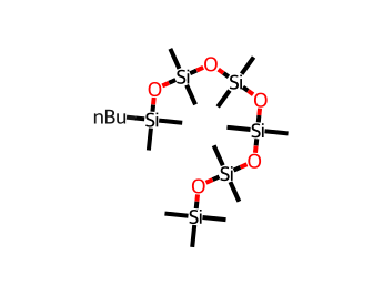 CCCC[Si](C)(C)O[Si](C)(C)O[Si](C)(C)O[Si](C)(C)O[Si](C)(C)O[Si](C)(C)C